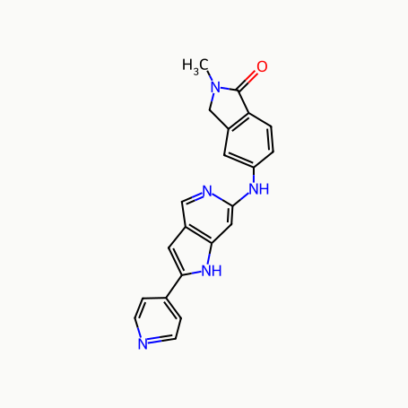 CN1Cc2cc(Nc3cc4[nH]c(-c5ccncc5)cc4cn3)ccc2C1=O